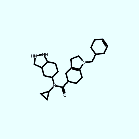 O=C(C1CCC2=C(CCN2CC2CC=CCC2)C1)N(C1CC1)C1CCC2NNCC2C1